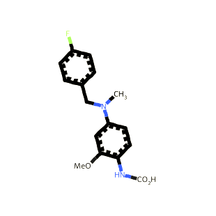 COc1cc(N(C)Cc2ccc(F)cc2)ccc1NC(=O)O